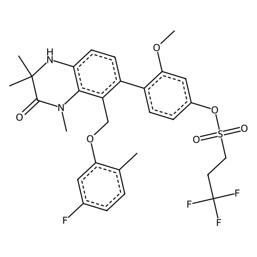 COc1cc(OS(=O)(=O)CCC(F)(F)F)ccc1-c1ccc2c(c1COc1cc(F)ccc1C)N(C)C(=O)C(C)(C)N2